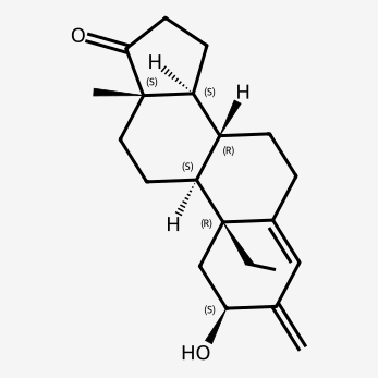 C=C1C=C2CC[C@@H]3[C@H](CC[C@]4(C)C(=O)CC[C@@H]34)[C@@]2(CC)C[C@@H]1O